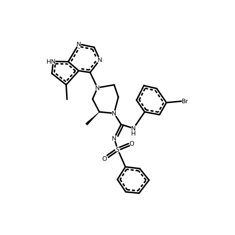 Cc1c[nH]c2ncnc(N3CCN(/C(=N/S(=O)(=O)c4ccccc4)Nc4cccc(Br)c4)[C@@H](C)C3)c12